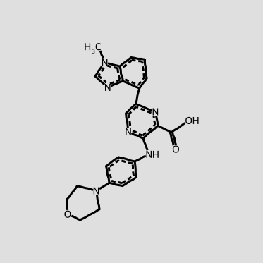 Cn1cnc2c(-c3cnc(Nc4ccc(N5CCOCC5)cc4)c(C(=O)O)n3)cccc21